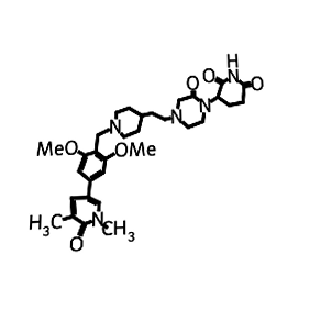 COc1cc(-c2cc(C)c(=O)n(C)c2)cc(OC)c1CN1CCC(CCN2CCN(C3CCC(=O)NC3=O)C(=O)C2)CC1